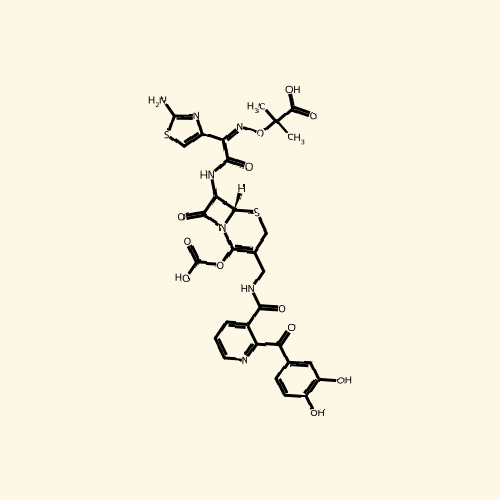 CC(C)(O/N=C(\C(=O)NC1C(=O)N2C(OC(=O)O)=C(CNC(=O)c3cccnc3C(=O)c3ccc(O)c(O)c3)CS[C@@H]12)c1csc(N)n1)C(=O)O